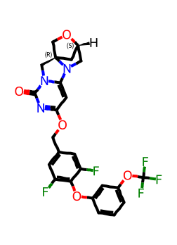 O=c1nc(OCc2cc(F)c(Oc3cccc(OC(F)(F)F)c3)c(F)c2)cc2n1C[C@]13CO[C@H](CN21)C3